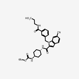 CC(C)(C)OC(=O)N[C@H]1CC[C@H](NC(=O)c2cc3ccc(C#N)cc3n2Cc2cccc(C(=O)NCCC(=O)O)c2)CC1